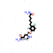 NC(=O)CCCCCc1c(F)ccc(OC[C@H](CCC(N)=O)NC=O)c1F